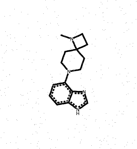 CN1CCC12CCN(c1cccc3[nH]cnc13)CC2